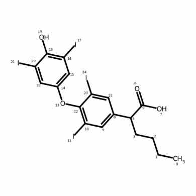 CCCCC(C(=O)O)c1cc(I)c(Oc2cc(I)c(O)c(I)c2)c(I)c1